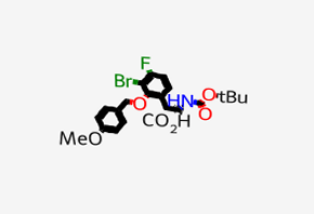 COc1ccc(COc2c(C[C@H](NC(=O)OC(C)(C)C)C(=O)O)ccc(F)c2Br)cc1